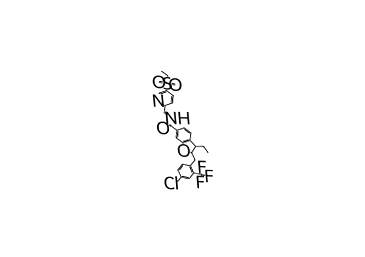 CCC1c2ccc(C(=O)NCc3ccc(S(=O)(=O)CC)cn3)cc2OC1Cc1ccc(Cl)cc1C(F)(F)F